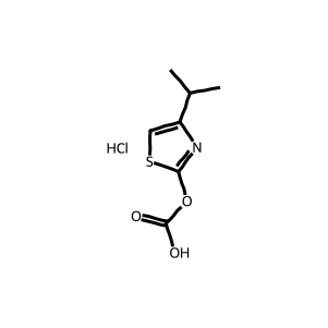 CC(C)c1csc(OC(=O)O)n1.Cl